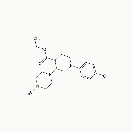 CCOC(=O)N1CCN(c2ccc(Cl)cc2)CC1N1CCN(C)CC1